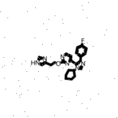 Fc1ccc(-c2ncn(C3CCCCC3)c2-c2ccnc(OCCc3c[nH]cn3)n2)cc1